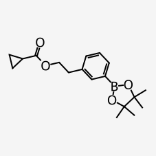 CC1(C)OB(c2cccc(CCOC(=O)C3CC3)c2)OC1(C)C